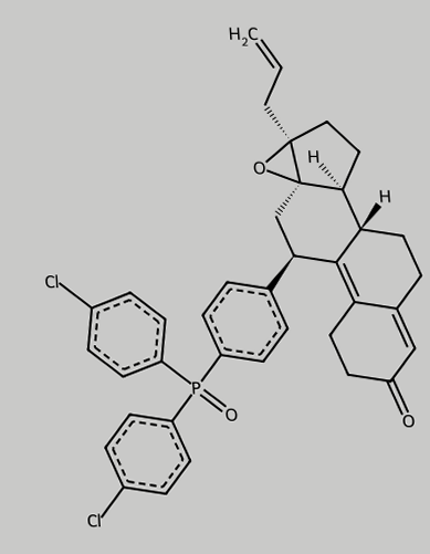 C=CC[C@]12CC[C@H]3[C@@H]4CCC5=CC(=O)CCC5=C4[C@@H](c4ccc(P(=O)(c5ccc(Cl)cc5)c5ccc(Cl)cc5)cc4)C[C@@]31O2